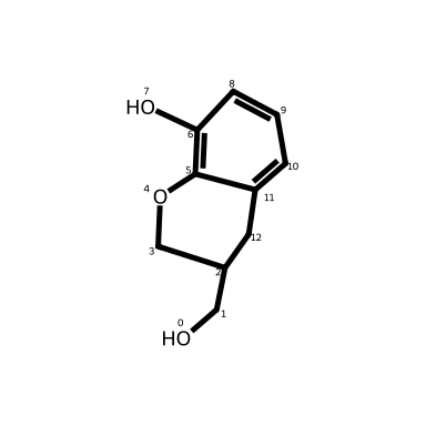 OCC1COc2c(O)cccc2C1